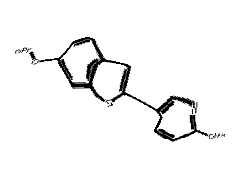 CCCOc1ccc2cc(-c3ccc(OC)nc3)sc2c1